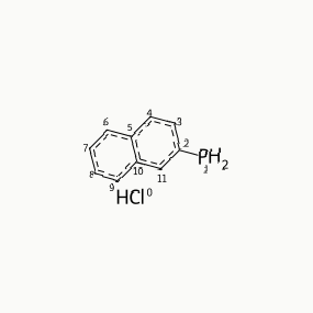 Cl.Pc1ccc2ccccc2c1